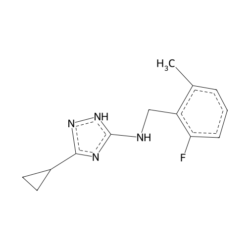 Cc1cccc(F)c1CNc1nc(C2CC2)n[nH]1